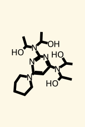 CC(O)N(c1cc(N2CCCCC2)nc(N(C(C)O)C(C)O)n1)C(C)O